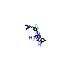 C=C/C(C(=C)NC1=CCC=C(C)C=C1C)=C(/N)C(CC)(CCC)N(C)N(C)Cc1ccc(CCCN(CCC)CCC)c(F)c1F